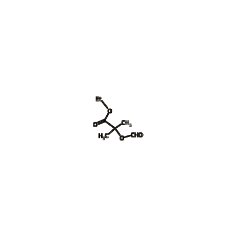 CCOC(=O)C(C)(C)O[C]=O